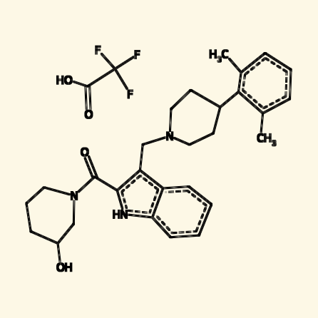 Cc1cccc(C)c1C1CCN(Cc2c(C(=O)N3CCCC(O)C3)[nH]c3ccccc23)CC1.O=C(O)C(F)(F)F